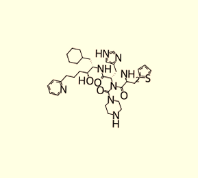 N[C@@H](Cc1cccs1)C(=O)N(C(=O)N1CCNCC1)[C@@H](Cc1c[nH]cn1)C(=O)N[C@@H](CC1CCCCC1)[C@@H](O)CCCc1ccccn1